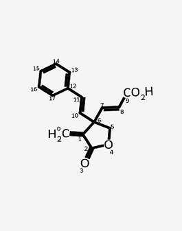 C=C1C(=O)OCC1(C=CC(=O)O)C=Cc1ccccc1